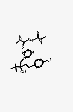 CC(C)(C)C(O)(CCc1ccc(Cl)cc1)Cn1cncn1.CN(C)C(=S)SSC(=S)N(C)C